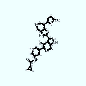 CC(=O)c1ccc(-c2cncc3[nH]c(-c4n[nH]c5cnc(-c6cncc(NC(=O)C7CC7)c6)c(F)c45)nc23)s1